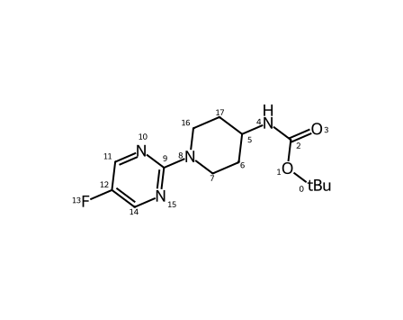 CC(C)(C)OC(=O)NC1CCN(c2ncc(F)cn2)CC1